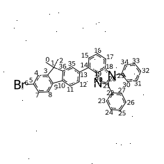 CC1(C)c2cc(Br)ccc2-c2ccc(-c3cccc4c3nc(-c3ccccc3)n4-c3ccccc3)cc21